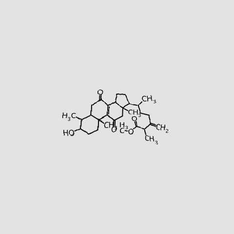 C=C(CCC(C)C1CCC2C3=C(C(=O)CC21C)C1(C)CCC(O)C(C)C1CC3=O)C(C)C(=O)OC